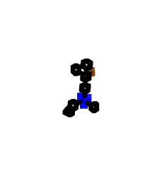 c1ccc(-c2nc(-c3ccc(-c4cc5sc6cccc7c8ccccc8c(c4)c5c67)cc3)nc(-c3ccc4ccccc4c3)n2)cc1